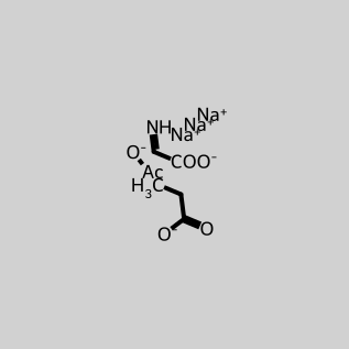 CC(=O)[O-].CCC(=O)[O-].N=CC(=O)[O-].[Na+].[Na+].[Na+]